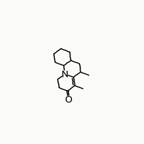 CC1=C2C(C)CC3CCCCC3N2CCC1=O